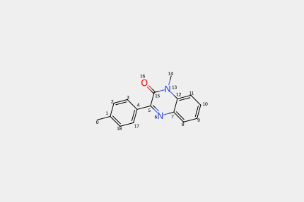 Cc1ccc(-c2nc3ccccc3n(C)c2=O)cc1